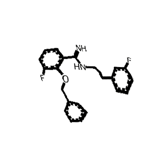 N=C(NCCc1cccc(F)c1)c1cccc(F)c1OCc1ccccc1